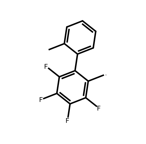 [CH2]c1c(F)c(F)c(F)c(F)c1-c1ccccc1C